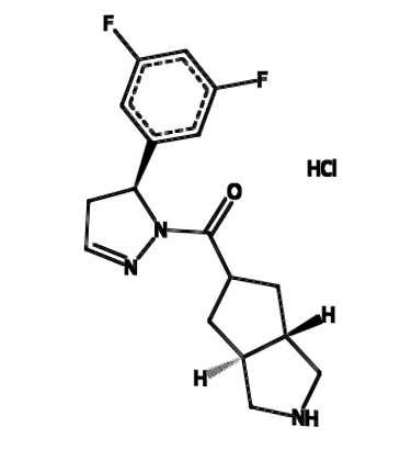 Cl.O=C(C1C[C@@H]2CNC[C@H]2C1)N1N=CC[C@H]1c1cc(F)cc(F)c1